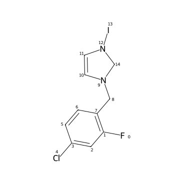 Fc1cc(Cl)ccc1CN1C=CN(I)C1